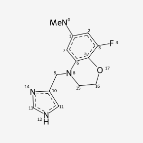 CNc1cc(F)c2c(c1)N(Cc1c[nH]cn1)CCO2